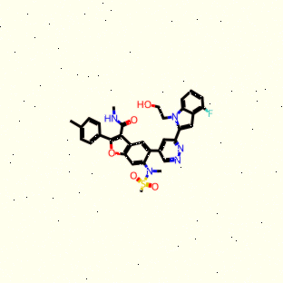 CNC(=O)c1c(-c2ccc(C)cc2)oc2cc(N(C)S(C)(=O)=O)c(-c3cnnc(-c4cc5c(F)cccc5n4CCO)c3)cc12